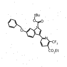 CCOC(=O)c1ccc(-c2cn(C(=O)OC(C)(C)C)c3cc(OCc4ccccc4)ccc23)nc1C(F)(F)F